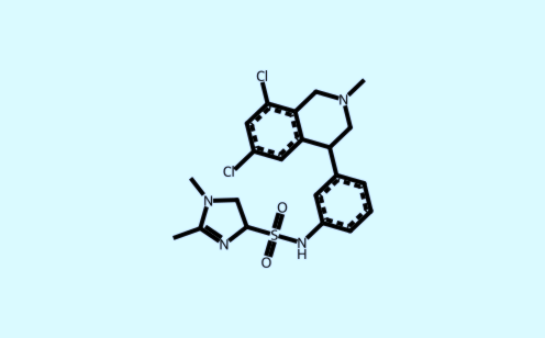 CC1=NC(S(=O)(=O)Nc2cccc(C3CN(C)Cc4c(Cl)cc(Cl)cc43)c2)CN1C